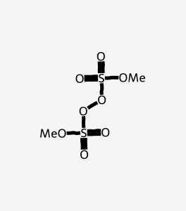 COS(=O)(=O)OOS(=O)(=O)OC